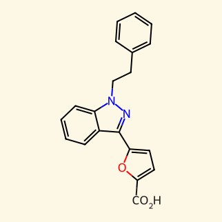 O=C(O)c1ccc(-c2nn(CCc3ccccc3)c3ccccc23)o1